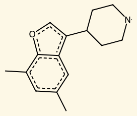 Cc1cc(C)c2occ(C3CC[N]CC3)c2c1